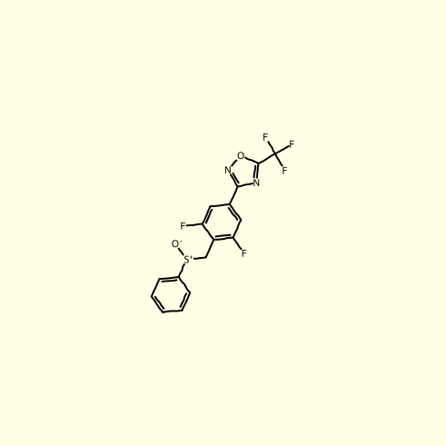 [O-][S+](Cc1c(F)cc(-c2noc(C(F)(F)F)n2)cc1F)c1ccccc1